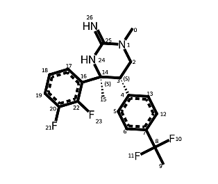 CN1C[C@H](c2ccc(C(C)(F)F)cc2)[C@@](C)(c2cccc(F)c2F)NC1=N